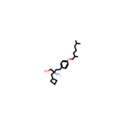 CC(C)CCCC(C)COc1ccc(CCC(N)(CO)CC2CCC2)cc1